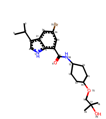 CC(C)c1c[nH]c2c(C(=O)NC3CCC(OCC(C)(C)O)CC3)cc(Br)cc12